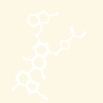 C=CC(=O)N1CC(Oc2nc(OCC34CCCN3CC(F)C4)nc3c(F)c(-c4ccc(F)c5sc(N)nc45)c(Cl)cc23)C1